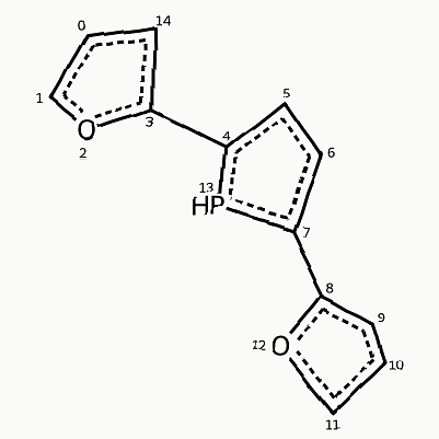 c1coc(-c2ccc(-c3ccco3)[pH]2)c1